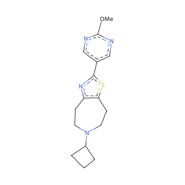 COc1ncc(-c2nc3c(s2)CCN(C2CCC2)CC3)cn1